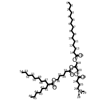 CCCCCCCCCCCCCCCC(=O)OCC(COC(=O)CCCN(C)C)OC(=O)CCCCOC(=O)C(CCCCCC)CCCCCCCC